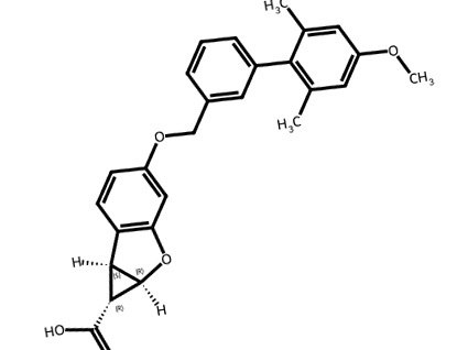 COc1cc(C)c(-c2cccc(COc3ccc4c(c3)O[C@H]3[C@H](C(=O)O)[C@@H]43)c2)c(C)c1